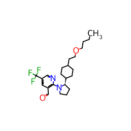 CCCCOCCC1CCC([C@H]2CCCN2c2ncc(C(F)(F)F)cc2C=O)CC1